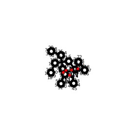 c1ccc(-c2cccc(C(c3cccc(-c4ccccc4)c3)(c3cccc(-c4ccccc4)c3)c3cccc(-c4nc(-c5ccccc5-n5c6ccccc6c6ccccc65)nc(-n5c6ccccc6c6ccccc65)n4)c3)c2)cc1